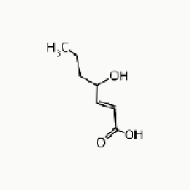 CCCC(O)C=CC(=O)O